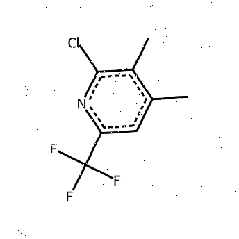 Cc1cc(C(F)(F)F)nc(Cl)c1C